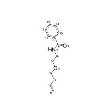 C=CCCOCCNC(=O)c1ccccc1